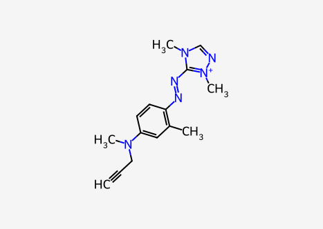 C#CCN(C)c1ccc(/N=N/c2n(C)cn[n+]2C)c(C)c1